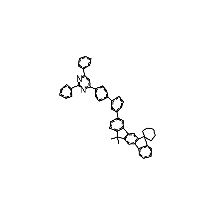 CC1(C)c2ccc(-c3cccc(-c4ccc(-c5cc(-c6ccccc6)nc(-c6ccccc6)n5)cc4)c3)cc2-c2cc3c(cc21)-c1ccccc1C31CCCCC1